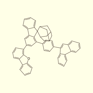 c1ccc2c(c1)-c1cc(-c3cccc4c3oc3ccccc34)cc(-c3ccc(-c4cc5ccccc5c5ccccc45)cc3)c1C21C2CC3CC(C2)CC1C3